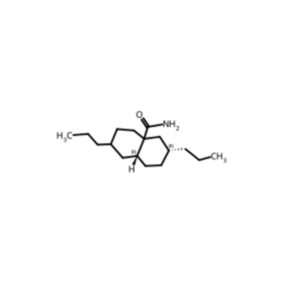 CCCC1CCC2(C(N)=O)C[C@H](CCC)CC[C@@H]2C1